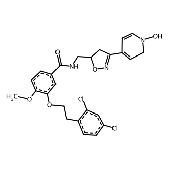 COc1ccc(C(=O)NCC2CC(C3=CCN(O)C=C3)=NO2)cc1OCCc1ccc(Cl)cc1Cl